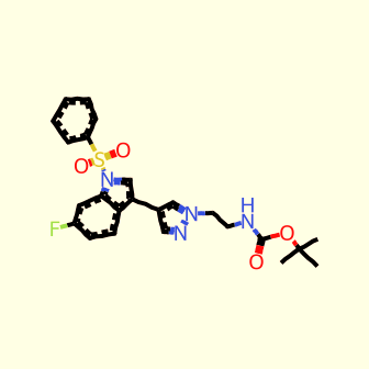 CC(C)(C)OC(=O)NCCn1cc(-c2cn(S(=O)(=O)c3ccccc3)c3cc(F)ccc23)cn1